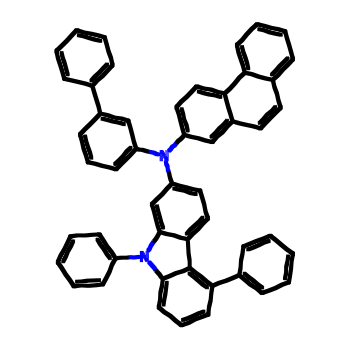 c1ccc(-c2cccc(N(c3ccc4c(ccc5ccccc54)c3)c3ccc4c5c(-c6ccccc6)cccc5n(-c5ccccc5)c4c3)c2)cc1